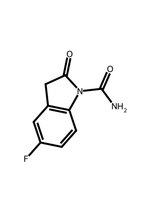 NC(=O)N1C(=O)Cc2cc(F)ccc21